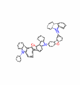 C1=CC2c3ccccc3N(c3ccc4oc5ccc(-n6c7ccccc7c7c8oc9c(ccc%10c9c9ccccc9n%10-c9ccccc9)c8ccc76)cc5c4c3)C2C=C1